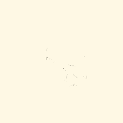 CC(C)(C)OC(=O)N[C@H]1CCc2c(C3CC3)c3c(N)ncnc3n2C1